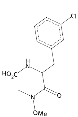 CON(C)C(=O)C(Cc1cccc(Cl)c1)NC(=O)O